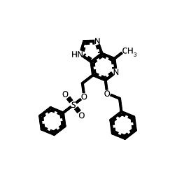 Cc1nc(OCc2ccccc2)c(COS(=O)(=O)c2ccccc2)c2[nH]cnc12